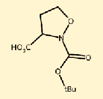 CC(C)(C)OC(=O)N1OCCC1C(=O)O